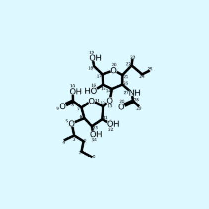 CCCC(C)OC1C(C(=O)O)OC(OC2C(O)C(CO)OC(C(C)CC)C2NC(C)=O)C(O)C1O